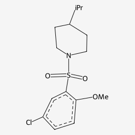 COc1ccc(Cl)cc1S(=O)(=O)N1CCC(C(C)C)CC1